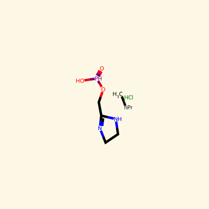 CCCC.Cl.O=[PH](O)OCC1=NCCN1